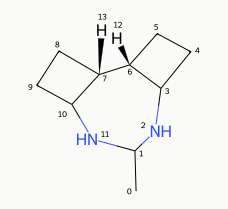 CC1NC2CC[C@H]2[C@H]2CCC2N1